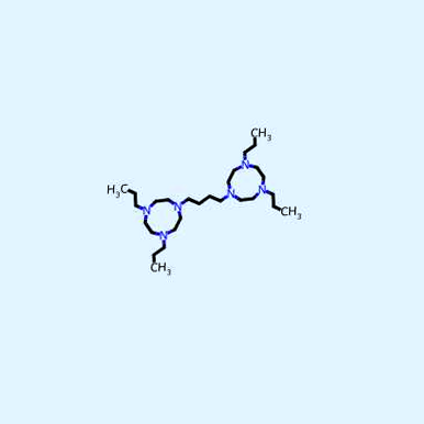 CCCN1CCN(CCC)CCN(CCCCN2CCN(CCC)CCN(CCC)CC2)CC1